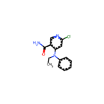 CCN(c1ccccc1)c1cc(Cl)ncc1C(N)=O